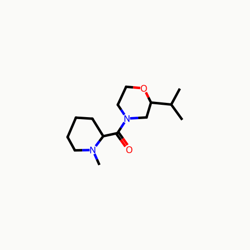 CC(C)C1CN(C(=O)C2CCCCN2C)CCO1